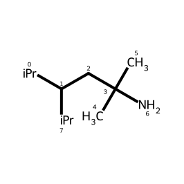 CC(C)C(CC(C)(C)N)C(C)C